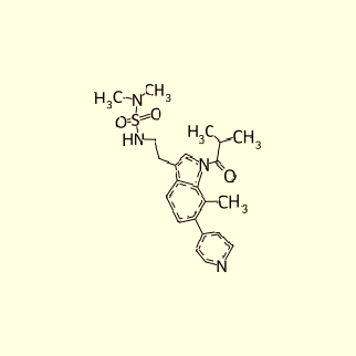 Cc1c(-c2ccncc2)ccc2c(CCNS(=O)(=O)N(C)C)cn(C(=O)C(C)C)c12